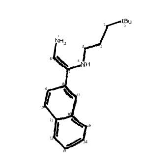 CC(C)(C)CCCN/C(=C\N)c1ccc2ccccc2c1